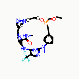 CCOCP1Cc2ccc(cc2)Nc2ncc(C(F)(F)F)c(n2)Nc2ccc(nc2C(=O)NC)-c2cnn(c2)CCCO1